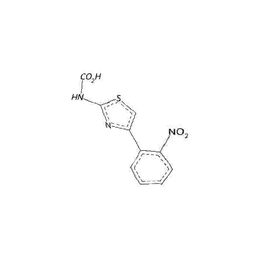 O=C(O)Nc1nc(-c2ccccc2[N+](=O)[O-])cs1